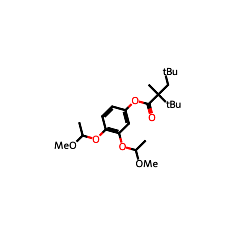 COC(C)Oc1ccc(OC(=O)C(C)(CC(C)(C)C)C(C)(C)C)cc1OC(C)OC